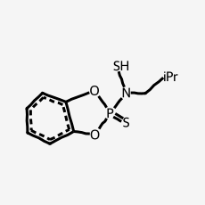 CC(C)CN(S)P1(=S)Oc2ccccc2O1